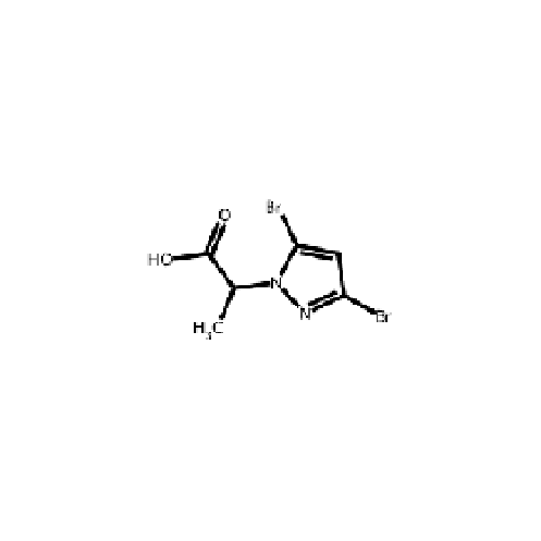 CC(C(=O)O)n1nc(Br)cc1Br